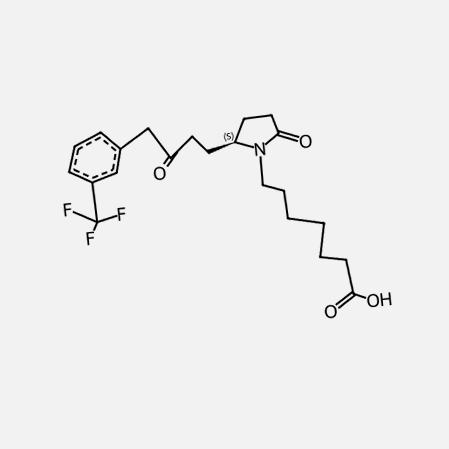 O=C(O)CCCCCCN1C(=O)CC[C@@H]1CCC(=O)Cc1cccc(C(F)(F)F)c1